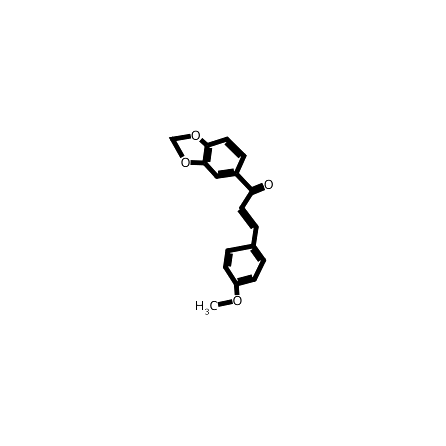 COc1ccc(C=CC(=O)c2ccc3c(c2)OCO3)cc1